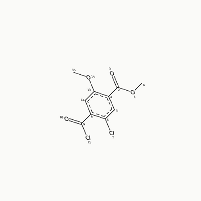 COC(=O)c1cc(Cl)c(C(=O)Cl)cc1OC